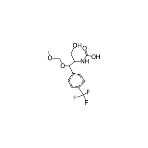 COCOC(c1ccc(C(F)(F)F)cc1)C(CO)NC(=O)O